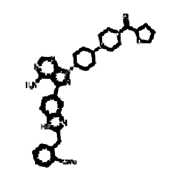 COc1ccccc1Cc1nc2cc(-c3nn([C@H]4CC[C@H](N5CCN(C(=O)C6CCCO6)CC5)CC4)c4ncnc(N)c34)ccc2[nH]1